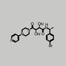 C[C@H](NC(=O)[C@H](O)[C@@H](O)C(=O)N1CCN(c2ccncc2)CC1)c1ccc(Br)cc1